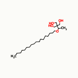 CCCCCCCCCCCCCCCCCCOC(C)C(CO)(CO)CO